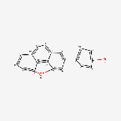 Brc1ccc(-c2cc3ccc4cccc5oc(c2)c3c45)cc1